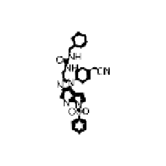 N#CC[C@H]1CC[C@H](n2c(CNC(=O)NCC3CCCCC3)nc3cnc4c(ccn4S(=O)(=O)c4ccccc4)c32)CC1